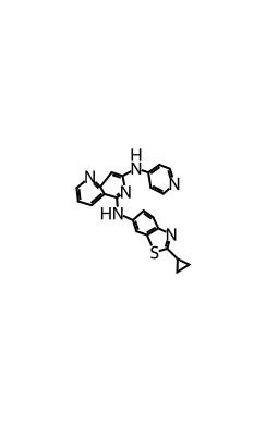 c1cnc2cc(Nc3ccncc3)nc(Nc3ccc4nc(C5CC5)sc4c3)c2c1